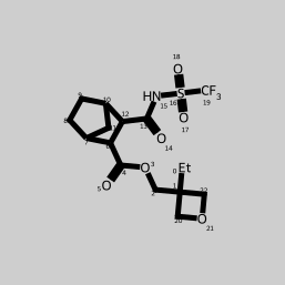 CCC1(COC(=O)C2C3CCC(C3)C2C(=O)NS(=O)(=O)C(F)(F)F)COC1